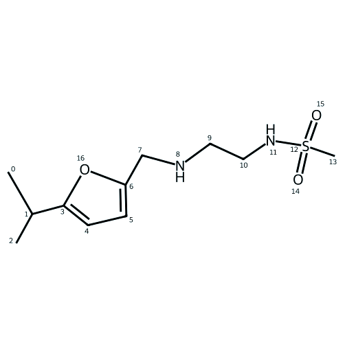 CC(C)c1ccc(CNCCNS(C)(=O)=O)o1